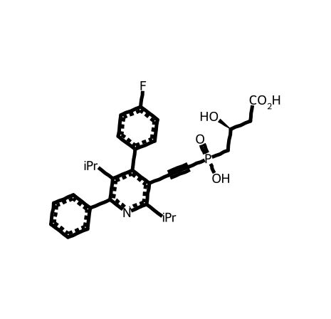 CC(C)c1nc(-c2ccccc2)c(C(C)C)c(-c2ccc(F)cc2)c1C#CP(=O)(O)C[C@@H](O)CC(=O)O